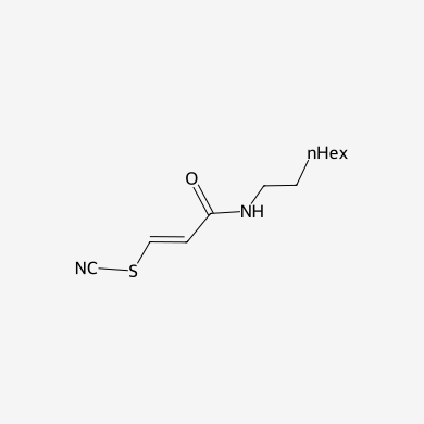 CCCCCCCCNC(=O)/C=C/SC#N